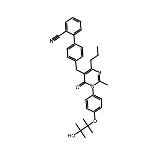 CCCc1nc(C)n(-c2ccc(OC(C)(C)C(C)(C)O)cc2)c(=O)c1Cc1ccc(-c2ccccc2C#N)cc1